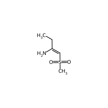 CCC(N)=CS(C)(=O)=O